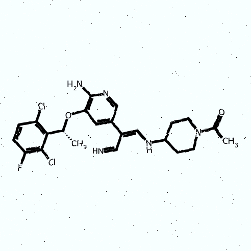 CC(=O)N1CCC(N/C=C(\C=N)c2cnc(N)c(O[C@H](C)c3c(Cl)ccc(F)c3Cl)c2)CC1